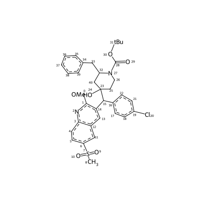 COc1nc2ccc(S(C)(=O)=O)cc2cc1C(c1ccc(Cl)cc1)C1(O)CCN(C(=O)OC(C)(C)C)C(Cc2ccccc2)C1